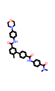 Cc1ccc(C(=O)Nc2ccc(N3CCOCC3)cc2)cc1-c1ccc(C(=O)Nc2ccc(C(=O)N(C)C)cc2)cc1